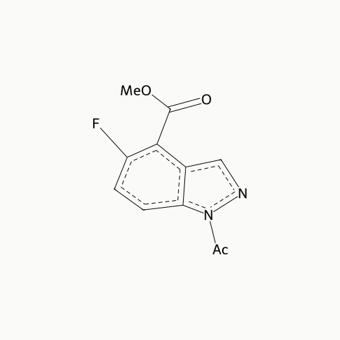 COC(=O)c1c(F)ccc2c1cnn2C(C)=O